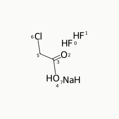 F.F.O=C(O)CCl.[NaH]